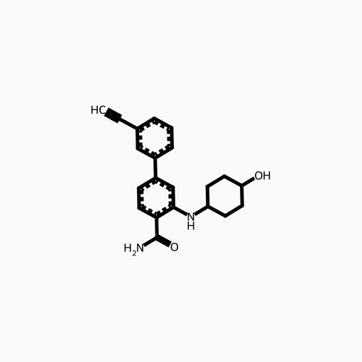 C#Cc1cccc(-c2ccc(C(N)=O)c(NC3CCC(O)CC3)c2)c1